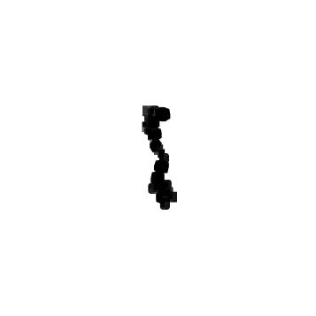 O=C1CCC(N2C(=O)c3ccc(N4CCC(OCCN5CCC(N6C=CN7C(=C6)C=Nc6nnc(-c8ccccc8O)cc67)C5)CC4)cc3C2=O)C(=O)N1